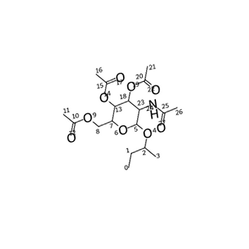 CCC(C)OC1OC(COC(C)=O)C(OC(C)=O)C(OC(C)=O)C1NC(C)=O